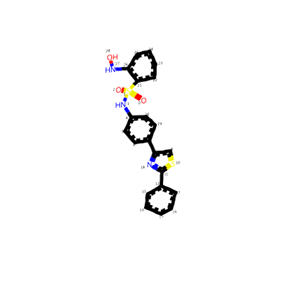 O=S(=O)(Nc1ccc(-c2csc(-c3ccccc3)n2)cc1)c1ccccc1NO